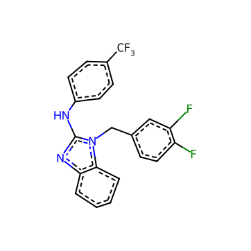 Fc1ccc(Cn2c(Nc3ccc(C(F)(F)F)cc3)nc3ccccc32)cc1F